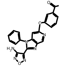 CC(=O)c1cccc(Oc2cc3c(cn2)nc(-c2nonc2N)n3-c2ccccc2)c1